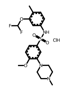 COc1ccc(S(=O)(=O)Nc2ccc(C)c(OC(F)F)c2)cc1N1CCN(C)CC1.Cl